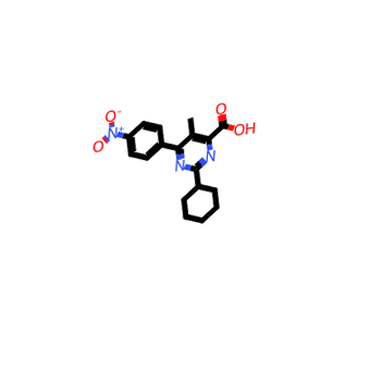 Cc1c(C(=O)O)nc(C2CCCCC2)nc1-c1ccc([N+](=O)[O-])cc1